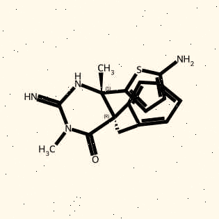 CN1C(=N)N[C@](C)(c2ccc(N)s2)[C@]2(Cc3ccccc32)C1=O